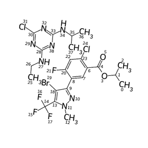 CC(C)OC(=O)c1cc(-c2nn(C)c(C(F)(F)F)c2Br)c(F)cc1Cl.CCNc1nc(Cl)nc(NC(C)C)n1